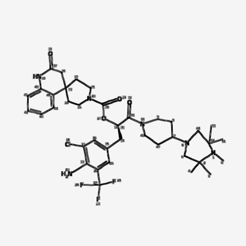 CN1C(C)(C)CN(C2CCN(C(=O)[C@@H](Cc3cc(Cl)c(N)c(C(F)(F)F)c3)OC(=O)N3CCC4(CC3)CC(=O)Nc3ccccc34)CC2)CC1(C)C